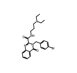 CCN(CC)CCCNC(=O)c1nc2ccccc2c(=O)n1Cc1ccc(Br)cc1